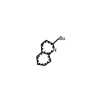 CCC(C)c1ccc2ccccc2n1